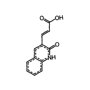 O=C(O)C=Cc1cc2ccccc2[nH]c1=O